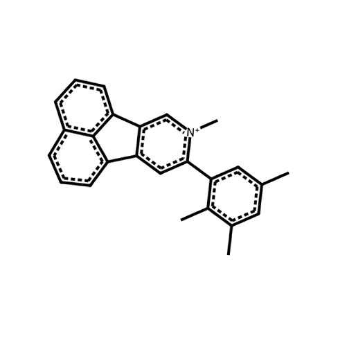 Cc1cc(C)c(C)c(-c2cc3c(c[n+]2C)-c2cccc4cccc-3c24)c1